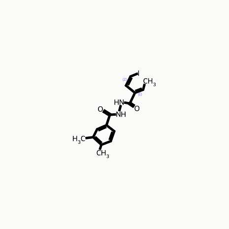 C/C=C(\C=C/I)C(=O)NNC(=O)c1ccc(C)c(C)c1